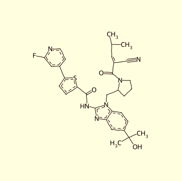 CC(C)C=C(C#N)C(=O)N1CCCC1Cn1c(NC(=O)c2ccc(-c3ccnc(F)c3)s2)nc2cc(C(C)(C)O)ccc21